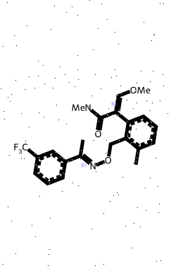 CNC(=O)/C(=C/OC)c1cccc(C)c1CO/N=C(\C)c1cccc(C(F)(F)F)c1